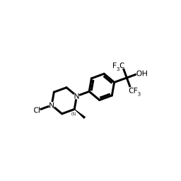 C[C@H]1CN(Cl)CCN1c1ccc(C(O)(C(F)(F)F)C(F)(F)F)cc1